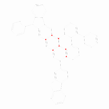 C1=CC(N(c2ccc(-c3ccc4c(c3)oc3ccccc34)cc2)c2ccc3c(c2)c2ccccc2n3-c2ccccc2)C(c2ccccc2-c2ccccc2)C(c2ccccc2)=C1